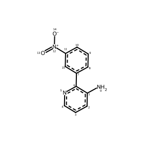 Nc1cccnc1-c1cccc([N+](=O)[O-])c1